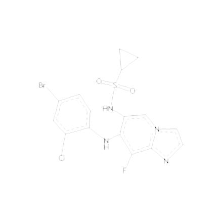 O=S(=O)(Nc1cn2ccnc2c(F)c1Nc1ccc(Br)cc1Cl)C1CC1